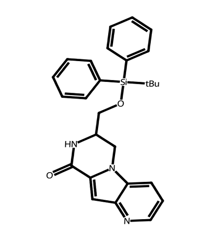 CC(C)(C)[Si](OCC1Cn2c(cc3ncccc32)C(=O)N1)(c1ccccc1)c1ccccc1